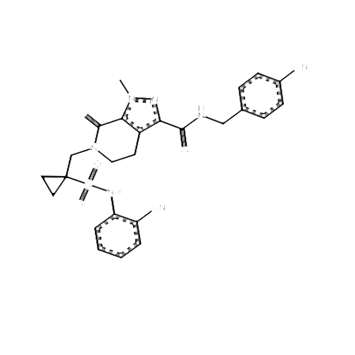 Cn1nc(C(=O)NCc2ccc(C#N)cc2)c2c1C(=O)N(CC1(S(=O)(=O)Nc3ccccc3C#N)CC1)CC2